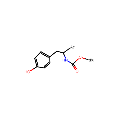 CC(=O)C(Cc1ccc(O)cc1)NC(=O)OC(C)(C)C